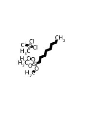 CCCCCCCC[Si](OC)(OC)OC.C[Si](Cl)(Cl)Cl